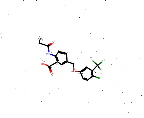 CCC(=O)Nc1ccc(COc2ccc(Br)c(C(F)(F)F)c2)cc1C(=O)O